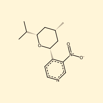 CC(C)[C@@H]1C[C@H](C)C[C@H](c2ccncc2[N+](=O)[O-])O1